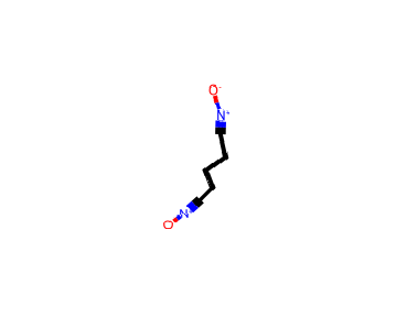 [O-][N+]#CCCCC#[N+][O-]